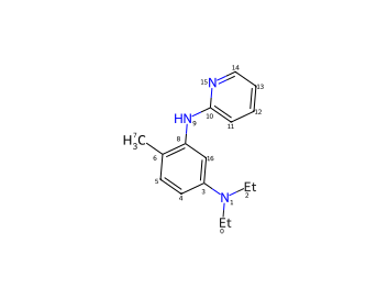 CCN(CC)c1ccc(C)c(Nc2ccccn2)c1